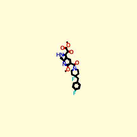 COC(=O)C(=O)c1[nH]cc2nc(OC)c(C(=O)N3CCC(F)(Cc4ccc(F)cc4)CC3)cc12